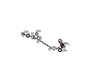 Cc1ncsc1-c1ccc(CNC(=O)[C@@H]2C[C@@H](O)CN2C(=O)C(NC(=O)CCCCCCCCC(=O)N2CCN(CCOc3cccc(N4C5CCC4CN(c4cc(-c6ccccc6O)nnc4N)C5)c3)CC2)C(C)(C)C)cc1